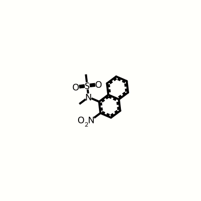 CN(c1c([N+](=O)[O-])ccc2ccccc12)S(C)(=O)=O